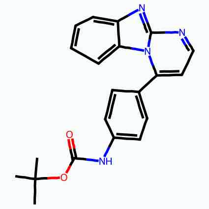 CC(C)(C)OC(=O)Nc1ccc(-c2ccnc3nc4ccccc4n23)cc1